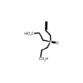 C=CCP(=O)(CCC(=O)O)CCC(=O)O